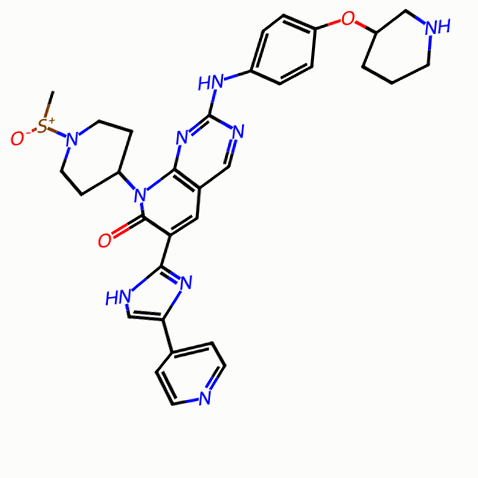 C[S+]([O-])N1CCC(n2c(=O)c(-c3nc(-c4ccncc4)c[nH]3)cc3cnc(Nc4ccc(OC5CCCNC5)cc4)nc32)CC1